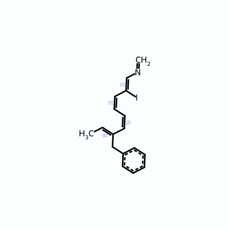 C=N/C=C(I)/C=C\C=C/C(=C/C)Cc1ccccc1